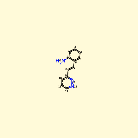 Nc1ccccc1C=Cc1cccnn1